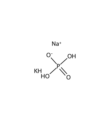 O=P([O-])(O)O.[KH].[Na+]